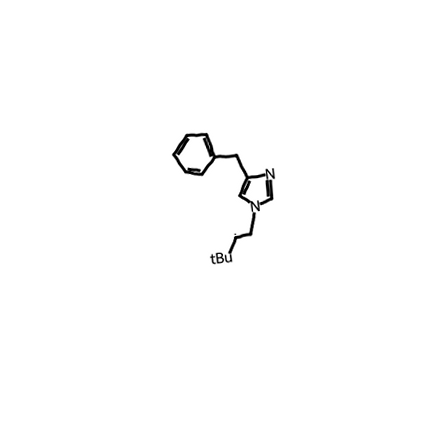 CC(C)(C)[CH]Cn1cnc(Cc2ccccc2)c1